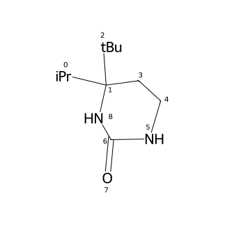 CC(C)C1(C(C)(C)C)CCNC(=O)N1